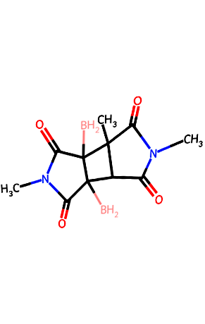 BC12C(=O)N(C)C(=O)C1(B)C1(C)C(=O)N(C)C(=O)C21